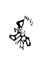 Nc1ccc(/N=C2\N/C(=C3/C(=O)Nc4ccccc4C3=O)c3ccccc32)cc1